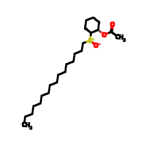 CCCCCCCCCCCCCCCC[S@+]([O-])[C@H]1CCCC[C@@H]1OC(C)=O